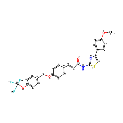 COc1ccc(-c2csc(NC(=O)/C=C/c3ccc(OCc4ccc(OC(F)(F)F)cc4)cc3)n2)cc1